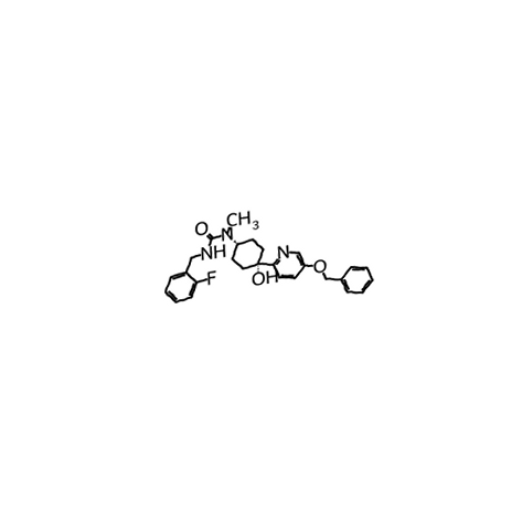 CN(C(=O)NCc1ccccc1F)[C@H]1CC[C@](O)(c2ccc(OCc3ccccc3)cn2)CC1